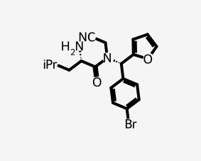 CC(C)C[C@H](N)C(=O)N(CC#N)[C@@H](c1ccc(Br)cc1)c1ccco1